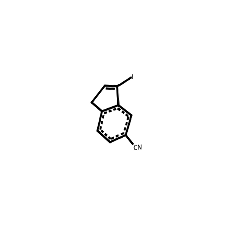 N#Cc1ccc2c(c1)C(I)=CC2